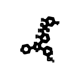 Cc1cc(-c2sc(C3CCOCC3)nc2-c2cccc(NS(=O)(=O)c3cc(F)ccc3F)c2F)ccn1